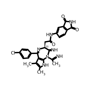 CC(=N)N1C(=N)[C@H](CC(=O)Nc2ccc3c(c2)C(=O)NC3=O)N=C(c2ccc(Cl)cc2)c2c1[nH]c(C)c2C